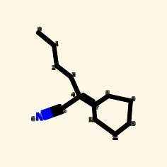 CCCCC(C#N)=C1CCCCC1